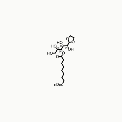 CCCCCCCCCCCCCCCCCC(=O)O[C@@H]([C@H](O)[C@@H](O)C1OCCO1)[C@H](O)CO